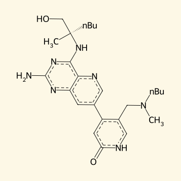 CCCCN(C)Cc1c[nH]c(=O)cc1-c1cnc2c(N[C@@](C)(CO)CCCC)nc(N)nc2c1